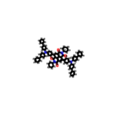 O=C1c2cc(-c3ccc(N(c4ccc(-c5ccccc5)cc4)c4ccc(-c5ccccc5)cc4)cc3)c3c4c(cc(-c5ccc(N(c6ccc(-c7ccccc7)cc6)c6ccc(-c7ccccc7)cc6)cc5)c(c24)C(=O)N1C1CCCCC1)C(=O)N(C1CCCCC1)C3=O